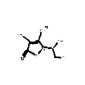 O=C1O[C@H]([C@@H](O)CO)C(O)=C1O.[Al]